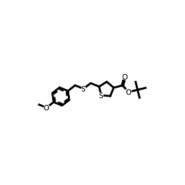 COc1ccc(CSCC2CC(C(=O)OC(C)(C)C)CS2)cc1